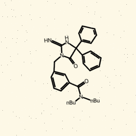 CCCCN(CCCC)C(=O)c1cccc(CN2C(=N)NC(c3ccccc3)(c3ccccc3)C2=O)c1